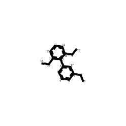 CCc1cc[c]c(-c2c(CC)cccc2CC)c1